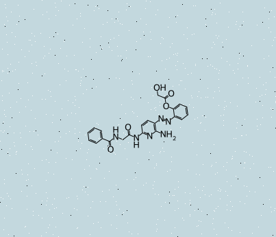 Nc1nc(NC(=O)CNC(=O)c2ccccc2)ccc1/N=N/c1ccccc1OC(=O)CO